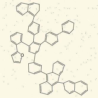 C1=CCC2C(=C1)C(C1C=c3ccccc3=CC1)=c1ccccc1=C2C1=CCCC(c2cc(-c3ccc(C4=CCCC=C4)cc3)c(-c3ccc(C4=c5ccccc5=CCC4)cc3)c(-c3ccccc3-c3ccco3)c2)=C1